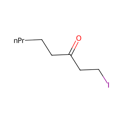 CCCCCC(=O)CCI